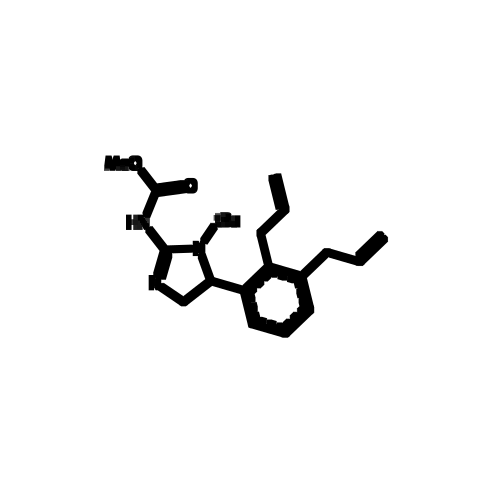 C=CCc1cccc(C2CN=C(NC(=O)OC)N2C(C)(C)C)c1CC=C